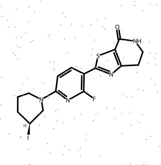 O=C1NCCc2nc(-c3ccc(N4CCC[C@H](I)C4)nc3F)sc21